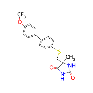 CC1(CSc2ccc(-c3ccc(OC(F)(F)F)cc3)cc2)NC(=O)NC1=O